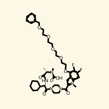 C[C@@H](C(=O)N[C@H](C(=O)N1CCN(C(=O)c2cc3c(OCCOCCOCCOCCOCc4ccccc4)c(F)c(F)cc3n2C)CC1)C1CCCCC1)N(C)C(=O)O